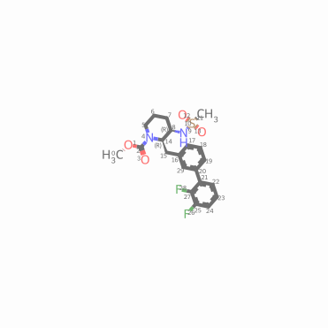 COC(=O)N1CCC[C@@H](NS(C)(=O)=O)[C@H]1Cc1cccc(-c2cccc(F)c2F)c1